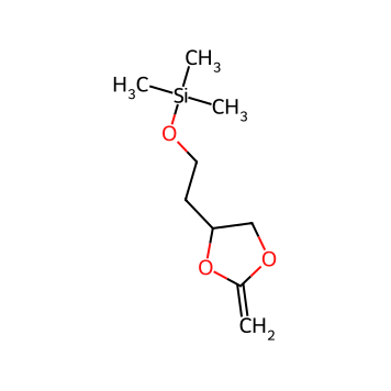 C=C1OCC(CCO[Si](C)(C)C)O1